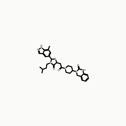 Cc1cc(C2SC(CC(=O)N3CCC(N4Cc5ccccc5NC4=O)CC3)C(=O)N2CCC(C)C)cc2cn[nH]c12